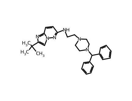 CC(C)(C)c1cn2nc(NCCN3CCN(C(c4ccccc4)c4ccccc4)CC3)ccc2n1